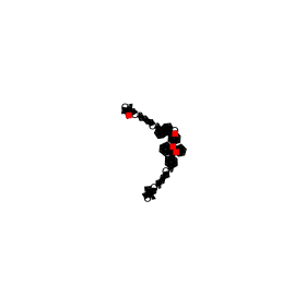 CCC1(COCCCCCOCc2ccc(-c3c4ccccc4c(-c4ccc5oc6ccc7c(COCCCCCOCC8(CC)COC8)cccc7c6c5c4)c4ccccc34)cc2)COC1